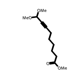 COC(=O)CCCCCC#CC(OC)OC